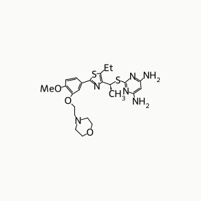 CCc1sc(-c2ccc(OC)c(OCCN3CCOCC3)c2)nc1[C@H](C)Sc1nc(N)cc(N)n1